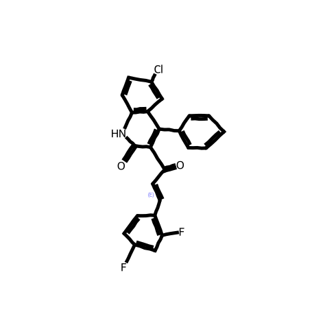 O=C(/C=C/c1ccc(F)cc1F)c1c(-c2ccccc2)c2cc(Cl)ccc2[nH]c1=O